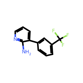 Nc1ncccc1-c1cccc(C(F)(F)F)c1